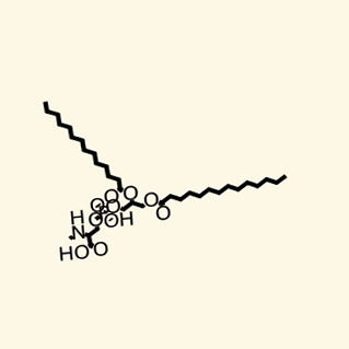 CCCCCCCCCCCCCC(=O)OCC(COP(=O)(O)OCC(NC)C(=O)O)OC(=O)CCCCCCCCCCCCC